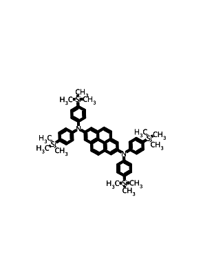 C[Si](C)(C)c1ccc(N(c2ccc([Si](C)(C)C)cc2)c2cc3ccc4cc(N(c5ccc([Si](C)(C)C)cc5)c5ccc([Si](C)(C)C)cc5)cc5ccc(c2)c3c45)cc1